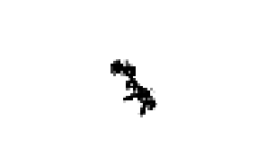 CCCCc1cn(-c2cccn2CCC)c(=O)n1Cc1cc(-c2cccc(-c3nnn[nH]3)c2)ccn1